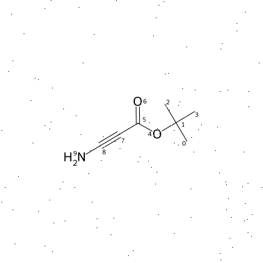 CC(C)(C)OC(=O)C#CN